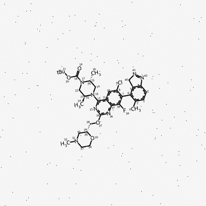 Cc1ccc2c(c1-c1c(Cl)cc3c(N4C[C@@H](C)N(C(=O)OC(C)(C)C)C[C@@H]4C)nc(OC[C@H]4CN(C)CCO4)nc3c1F)CN=N2